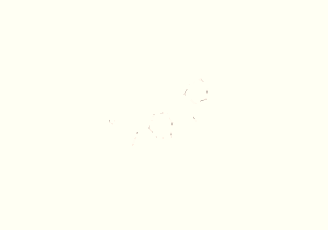 CCOCOc1cccc(F)c1C(=O)c1ccc(C(=O)OC)cc1